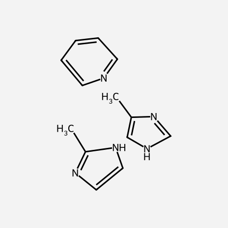 Cc1c[nH]cn1.Cc1ncc[nH]1.c1ccncc1